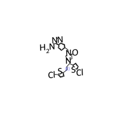 Nc1ncnc2cc(CN3CCN(C(/C=C/c4ccc(Cl)s4)c4ccc(Cl)s4)CC3=O)ccc12